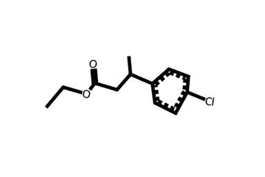 CCOC(=O)CC(C)c1ccc(Cl)cc1